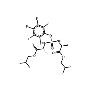 CC(C)COC(=O)[C@H](C)NP(=O)(N[C@H](C)C(=O)OCC(C)C)Oc1c(F)c(F)c(F)c(F)c1F